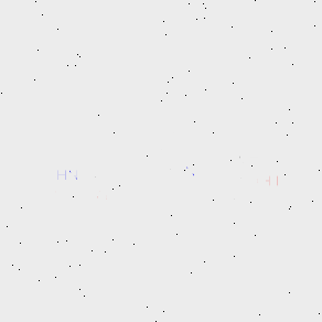 CC(C)(O)C1CN(C(=O)c2ccccc2C=CC(=O)NO)C1